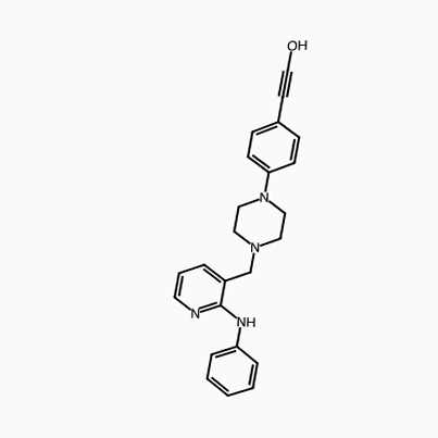 OC#Cc1ccc(N2CCN(Cc3cccnc3Nc3ccccc3)CC2)cc1